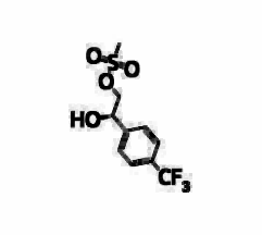 CS(=O)(=O)OC[C@H](O)c1ccc(C(F)(F)F)cc1